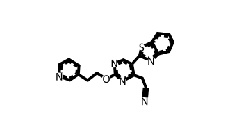 N#CCc1nc(OCCc2cccnc2)ncc1-c1nc2ccccc2s1